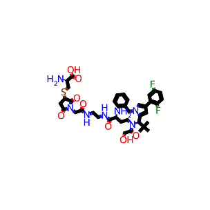 CC(C)(C)[C@H](c1cc(-c2cc(F)ccc2F)cn1Cc1ccccc1)N(CC[C@H](N)C(=O)NCCNC(=O)CN1C(=O)CC(SC[C@H](N)C(=O)O)C1=O)C(=O)CO